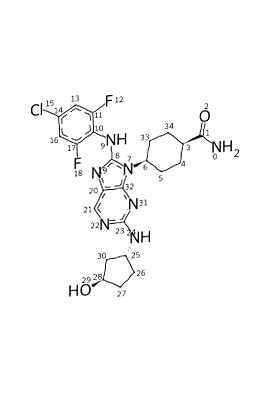 NC(=O)[C@H]1CC[C@@H](n2c(Nc3c(F)cc(Cl)cc3F)nc3cnc(N[C@@H]4CC[C@@H](O)C4)nc32)CC1